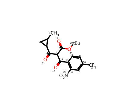 CC1CC1C(=O)C(C(=O)OC(C)(C)C)C(=O)c1ccc(C(F)(F)F)cc1[N+](=O)[O-]